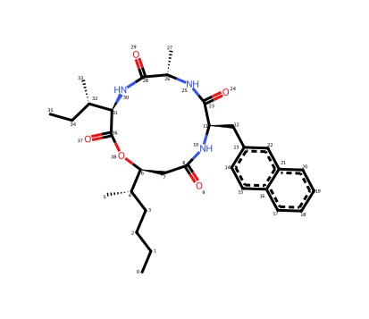 CCCC[C@H](C)[C@@H]1CC(=O)N[C@H](Cc2ccc3ccccc3c2)C(=O)N[C@@H](C)C(=O)N[C@H]([C@@H](C)CC)C(=O)O1